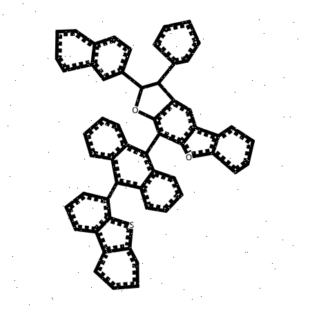 c1ccc(C2c3cc4c(oc5ccccc54)c(-c4c5ccccc5c(-c5cccc6c5sc5ccccc56)c5ccccc45)c3OC2c2ccc3ccccc3c2)cc1